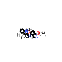 COc1nccc2c3c(ccc12)OC1(C=N3)N(C)c2ccccc2C1(C)C